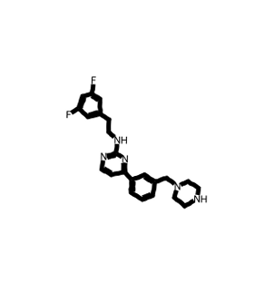 Fc1cc(F)cc(CCNc2nccc(-c3cccc(CN4CCNCC4)c3)n2)c1